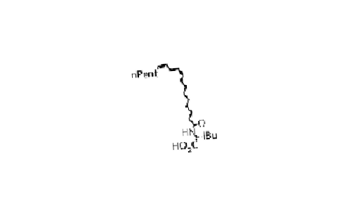 CCCCC/C=C\C/C=C\CCCCCCCC(=O)N[C@H](C(=O)O)[C@@H](C)CC